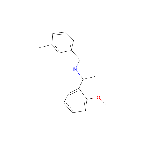 COc1ccccc1C(C)NCc1cccc(C)c1